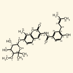 COC1C(O)[C@H](O)C(Oc2ccc3cc(NC(=O)c4ccc(O)c(CC=C(C)C)c4)c(=O)oc3c2C)OC1(C)C